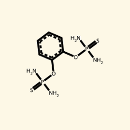 NP(N)(=S)Oc1ccccc1OP(N)(N)=S